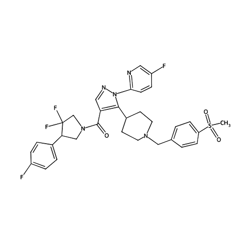 CS(=O)(=O)c1ccc(CN2CCC(c3c(C(=O)N4CC(c5ccc(F)cc5)C(F)(F)C4)cnn3-c3ccc(F)cn3)CC2)cc1